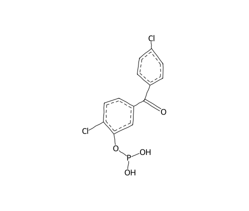 O=C(c1ccc(Cl)cc1)c1ccc(Cl)c(OP(O)O)c1